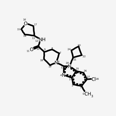 Cc1cc2nc(N3CCC(C(=O)NC4CCOC4)CC3)n(C3CCC3)c2cc1Cl